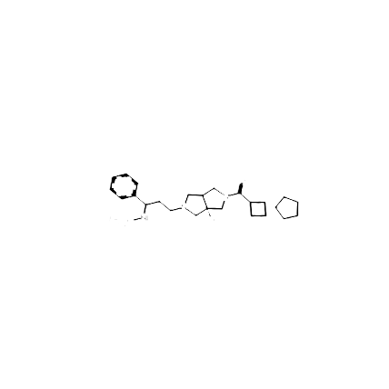 C1CCCC1.O=C(O)NC(CCN1CC2CN(C(=O)C3CCC3)C[C@@H]2C1)c1ccccc1